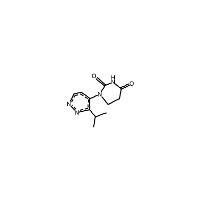 CC(C)c1nnccc1N1CCC(=O)NC1=O